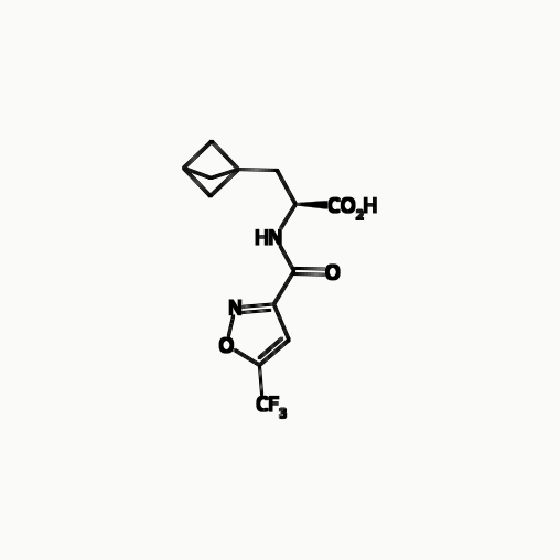 O=C(N[C@@H](CC12CC(C1)C2)C(=O)O)c1cc(C(F)(F)F)on1